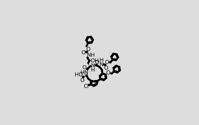 O=C(NC[C@H](O)C[C@@H]1NC(=O)[C@@H](NC(=O)OCc2ccccc2)Cc2cc(ccc2OCc2ccccc2)-c2ccc(Cl)c(c2)C[C@@H](C(=O)O)NC1=O)OCc1ccccc1